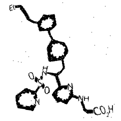 CCC=Cc1cccc(-c2ccc(CC(NS(=O)(=O)c3ccccn3)c3cccc(NCC(=O)O)n3)cc2)c1